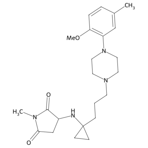 COc1ccc(C)cc1N1CCN(CCCC2(NC3CC(=O)N(C)C3=O)CC2)CC1